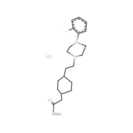 CNC(=O)CC1CCC(CCN2CCN(c3ccccc3F)CC2)CC1.Cl